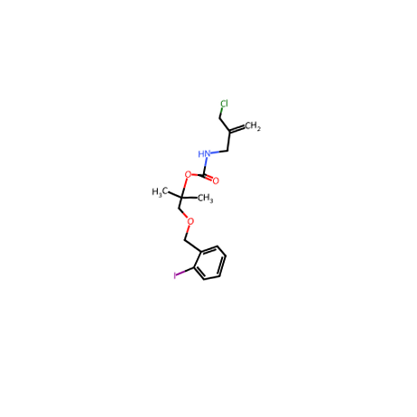 C=C(CCl)CNC(=O)OC(C)(C)COCc1ccccc1I